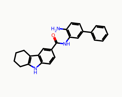 Nc1ccc(-c2ccccc2)cc1NC(=O)c1ccc2[nH]c3c(c2c1)CCCC3